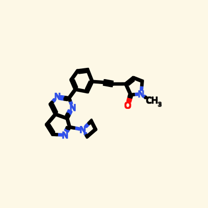 CN1CC=C(C#Cc2cccc(-c3ncc4ccnc(N5CCC5)c4n3)c2)C1=O